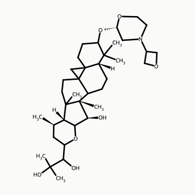 C[C@@H]1CC(C(O)C(C)(C)O)OC2[C@H]1C1(C)CCC34CC35CCC(O[C@H]3CN(C6COC6)CCO3)C(C)(C)[C@@H]5CCC4[C@]1(C)[C@H]2O